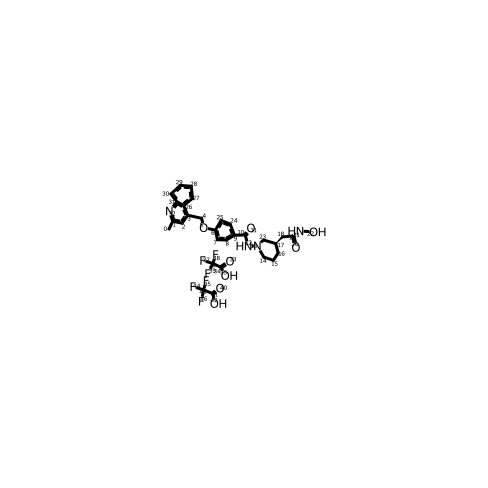 Cc1cc(COc2ccc(C(=O)NN3CCC[C@H](CC(=O)NO)C3)cc2)c2ccccc2n1.O=C(O)C(F)(F)F.O=C(O)C(F)(F)F